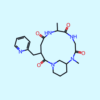 CC1NC(=O)CC(Cc2ccccn2)C(=O)N2CCCC(C2)N(C)C(=O)CNC1=O